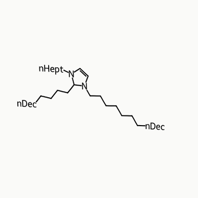 CCCCCCCCCCCCCCCCCN1C=CN(CCCCCCC)C1CCCCCCCCCCCCCC